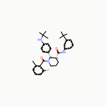 Cc1cccc(F)c1C(=O)N1CCC[C@@H](C(=O)Nc2cccc(C(C)(C)C)c2)[C@H]1c1ccc(NC(C)(C)C)cc1